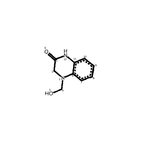 O=C1CN(CO)c2ccccc2N1